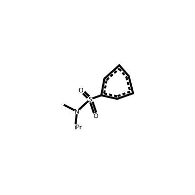 [CH2]N(C(C)C)S(=O)(=O)c1ccccc1